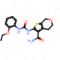 CCOc1ccccc1NC(=O)Nc1sc2c(c1C(N)=O)CCOC2